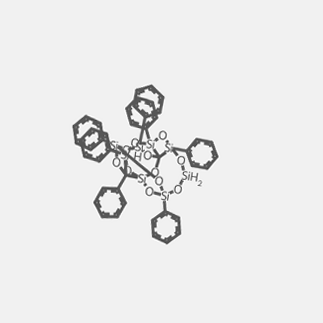 c1ccc([SiH]2OC34O[Si]56O[Si]7(c8ccccc8)O[SiH2]O[Si]3(c3ccccc3)O[Si]4(c3ccccc3)O[Si](c3ccccc3)(O5)C6(c3ccccc3)O[Si](c3ccccc3)(O2)O7)cc1